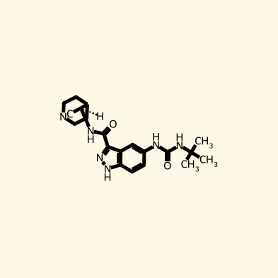 CC(C)(C)NC(=O)Nc1ccc2[nH]nc(C(=O)N[C@H]3CN4CCC3CC4)c2c1